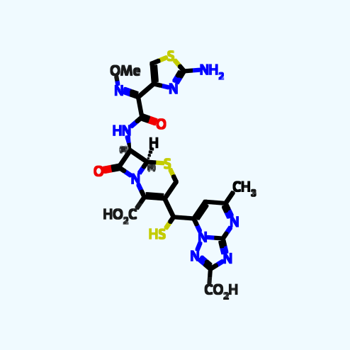 CON=C(C(=O)N[C@@H]1C(=O)N2C(C(=O)O)=C(C(S)c3cc(C)nc4nc(C(=O)O)nn34)CS[C@H]12)c1csc(N)n1